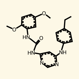 CCc1ccc(Nc2cc(NC(=O)Nc3cc(OC)ccc3OC)ncn2)cc1